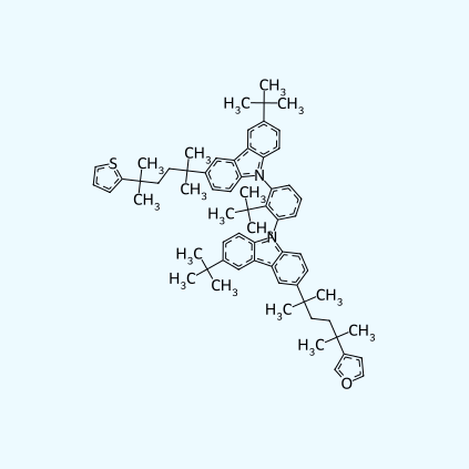 CC(C)(C)c1ccc2c(c1)c1cc(C(C)(C)CCC(C)(C)c3ccoc3)ccc1n2-c1cccc(-n2c3ccc(C(C)(C)C)cc3c3cc(C(C)(C)CCC(C)(C)c4cccs4)ccc32)c1C(C)(C)C